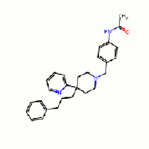 CC(=O)Nc1ccc(CN2CCC(CCCc3ccccc3)(c3ccccn3)CC2)cc1